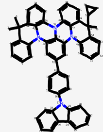 CC1(C)c2ccccc2N2c3cc(-c4ccc(-n5c6ccccc6c6ccccc65)cc4)cc4c3N(c3cccc1c32)c1cccc2c1N4c1ccccc1C2(C)C1CC1